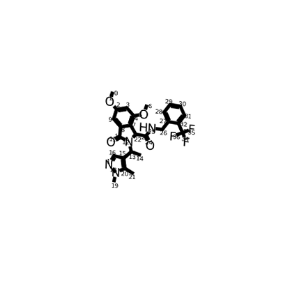 COc1cc(OC)c2c(c1)C(=O)N(C(C)c1cnn(C)c1C)C2C(=O)NCc1ccccc1C(F)(F)F